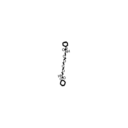 O=C(NCCOCCOCCOCCOCCNC(=O)OC1CCC=CCCC1)OC1CCC=CCCC1